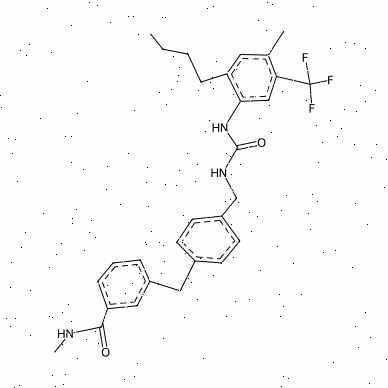 CCCCc1cc(C)c(C(F)(F)F)cc1NC(=O)NCc1ccc(Cc2cccc(C(=O)NC)c2)cc1